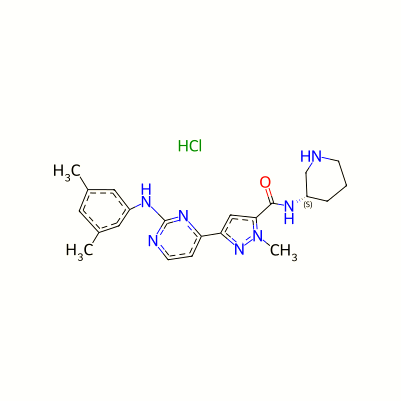 Cc1cc(C)cc(Nc2nccc(-c3cc(C(=O)N[C@H]4CCCNC4)n(C)n3)n2)c1.Cl